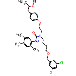 CCOC(Cc1ccc(OCCN(CCCCOCc2cc(Cl)cc(Cl)c2)C(=O)Nc2cc(C)c(C)cc2C)cc1)C(=O)O